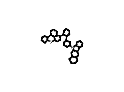 c1cc(-c2ccccc2-c2ccc3c4c(cccc24)-c2ccccc2S3)cc(-n2c3ccccc3c3cc4ccccc4cc32)c1